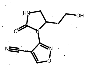 N#Cc1conc1N1C(=O)NCC1CCO